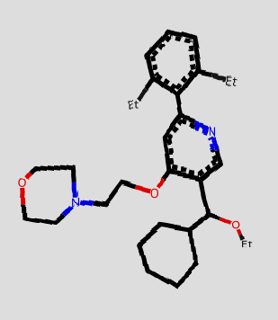 CCOC(c1cnc(-c2c(CC)cccc2CC)cc1OCCN1CCOCC1)C1CCCCC1